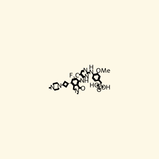 COc1cc(CP(=O)(O)O)ccc1Nc1ncc(C(F)(F)F)c(Nc2ccc([C@H]3C[C@@H](N4CCN(C)CC4)C3)c3c2C(=O)N(C)C3)n1